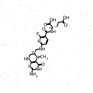 CN1c2c(nc(N)[nH]c2=O)NC[C@H]1CNc1ccc(C(=O)N[C@@H](CCC(=O)O)C(=O)O)c(F)n1